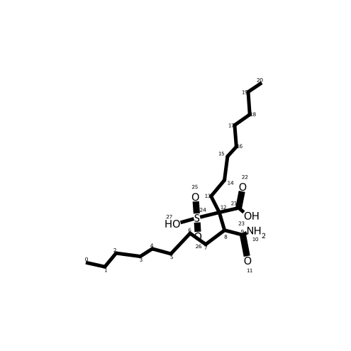 CCCCCCCCC(C(N)=O)C(CCCCCCCC)(C(=O)O)S(=O)(=O)O